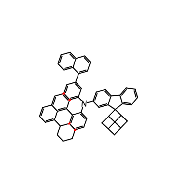 c1cc(-c2cccc3ccccc23)cc(N(c2ccc3c(c2)C2(c4ccccc4-3)C3CC4CC5CC2C453)c2ccccc2-c2cccc3cccc(C4CCCCC4)c23)c1